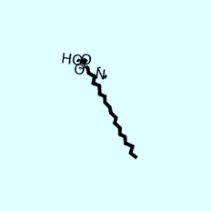 CCCCCCCCCCCCCCCCC(CCS(=O)(=O)O)N(C)C